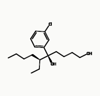 CCCC[C@H](CC)[C@@](O)(CCCCO)c1cccc(Cl)c1